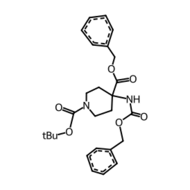 CC(C)(C)OC(=O)N1CCC(NC(=O)OCc2ccccc2)(C(=O)OCc2ccccc2)CC1